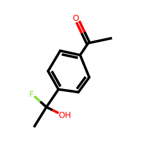 CC(=O)c1ccc(C(C)(O)F)cc1